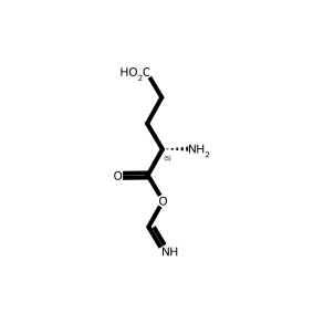 N=COC(=O)[C@@H](N)CCC(=O)O